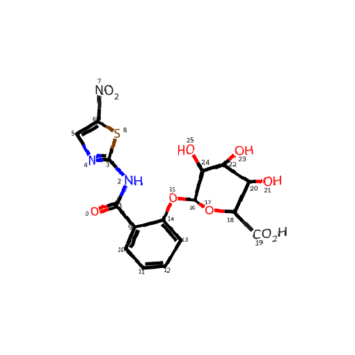 O=C(Nc1ncc([N+](=O)[O-])s1)c1ccccc1OC1OC(C(=O)O)C(O)C(O)C1O